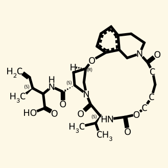 C=C[C@H](C)C(NC(=O)[C@@H]1C[C@@H]2CN1C(=O)[C@H](C(C)C)NC(=O)OCCCCC(=O)N1CCc3cccc(c3C1)O2)C(=O)O